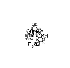 FC(F)(F)Oc1ccc(Nc2ccc3cccc(Cl)c3n2)cc1.O=C(O)[C@@H]1CCCN1